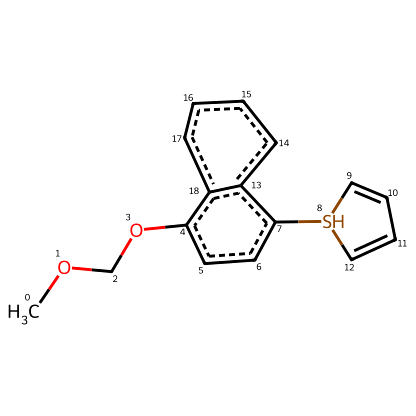 COCOc1ccc([SH]2C=CC=C2)c2ccccc12